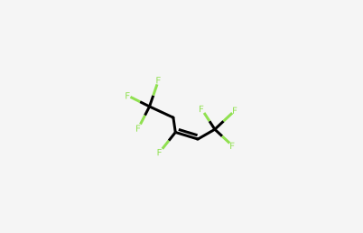 F/C(=C/C(F)(F)F)CC(F)(F)F